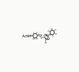 CC(=O)Nc1ccc(OCc2nc(-c3ccccc3)oc2C)cc1